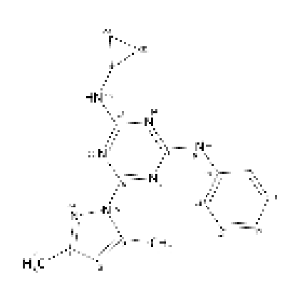 Cc1cc(C)n(-c2nc(Nc3ccccc3)nc(NC3CC3)n2)n1